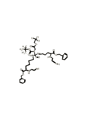 CC(C)(C)OC(=O)N(CC(=O)OCC(Cl)(Cl)Cl)C(NCCCCC(NCC=N)C(=O)OCc1ccccc1)(NCCCCC(NCC=N)C(=O)OCc1ccccc1)P=O